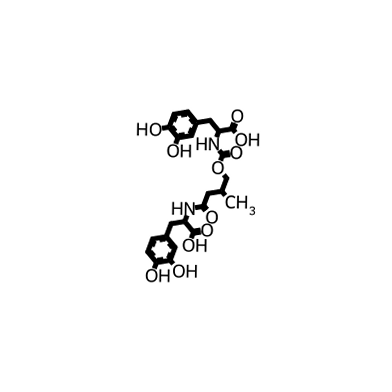 CC(COC(=O)NC(Cc1ccc(O)c(O)c1)C(=O)O)CC(=O)NC(Cc1ccc(O)c(O)c1)C(=O)O